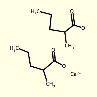 CCCC(C)C(=O)[O-].CCCC(C)C(=O)[O-].[Ca+2]